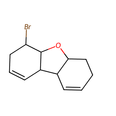 BrC1CC=CC2C3C=CCCC3OC12